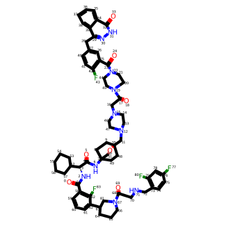 O=C(N[C@@H](C(=O)NC12CCC(CN3CCN(CC(=O)N4CCN(C(=O)c5cc(Cc6n[nH]c(=O)c7ccccc67)ccc5F)CC4)CC3)(CC1)OC2)C1CCCCC1)c1cccc(C2CCCN(C(=O)CNCc3ccc(F)cc3F)C2)c1F